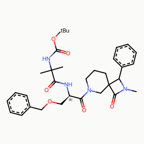 CN1C(=O)C2(CCCN(C(=O)[C@@H](COCc3ccccc3)NC(=O)C(C)(C)NC(=O)OC(C)(C)C)C2)C1c1ccccc1